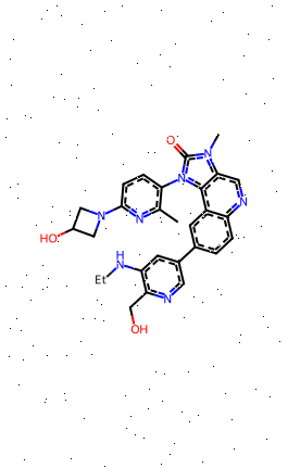 CCNc1cc(-c2ccc3ncc4c(c3c2)n(-c2ccc(N3CC(O)C3)nc2C)c(=O)n4C)cnc1CO